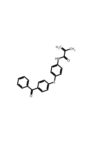 C=C(C)C(=O)Nc1ccc(Sc2ccc(C(=O)c3ccccc3)cc2)cc1